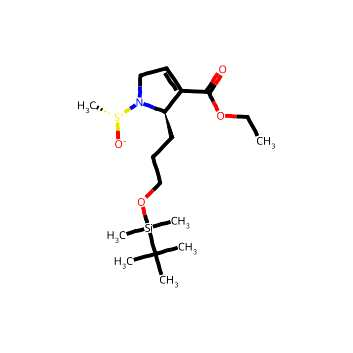 CCOC(=O)C1=CCN([S@@+](C)[O-])[C@@H]1CCCO[Si](C)(C)C(C)(C)C